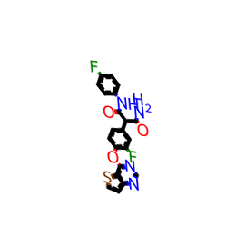 NC(=O)C(C(=O)Nc1ccc(F)cc1)c1ccc(Oc2ncnc3ccsc23)c(F)c1